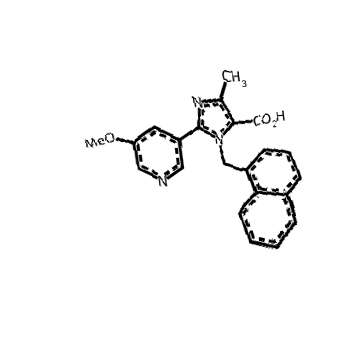 COc1cncc(-c2nc(C)c(C(=O)O)n2Cc2cccc3ccccc23)c1